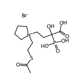 CC(=O)SCC[N+]1(CCC(O)(C(=O)O)P(=O)(O)O)CCCC1.[Br-]